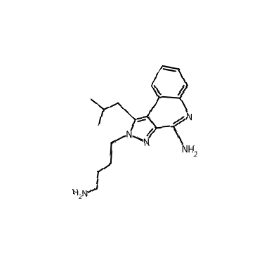 CC(C)Cc1c2c(nn1CCCCN)c(N)nc1ccccc12